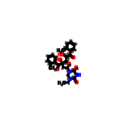 CCN1CN([C@H]2C[C@@](O)(C(=O)c3ccccc3C)[C@@H](C(O)C(=O)c3ccccc3C)O2)C(=O)NC1=O